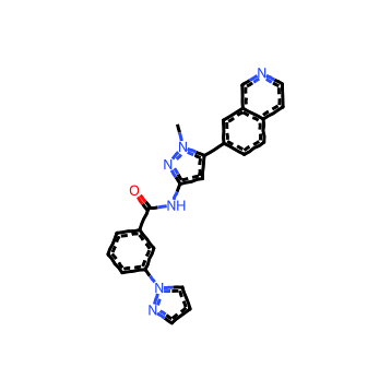 Cn1nc(NC(=O)c2cccc(-n3cccn3)c2)cc1-c1ccc2ccncc2c1